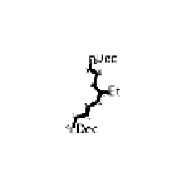 [CH2]CCCCCCCCCCCCCC(CC)CCCCCCCCCCCC[CH2]